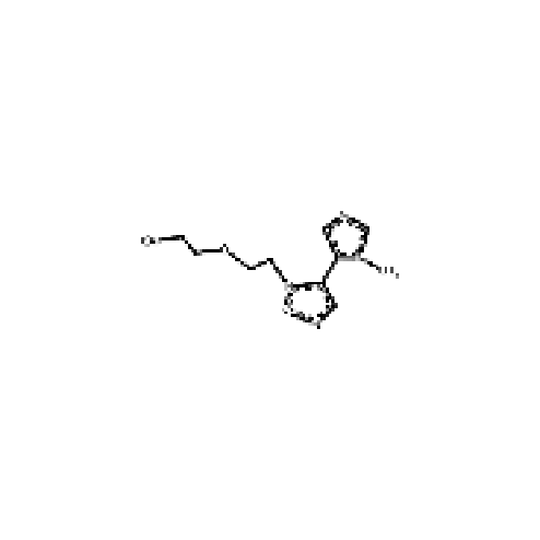 Cn1cncc1-c1cnnn1CCOCCC(C)(C)C